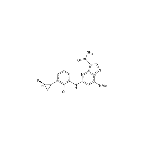 CNc1cc(Nc2cccn(C3C[C@H]3F)c2=O)nc2c(C(N)=O)cnn12